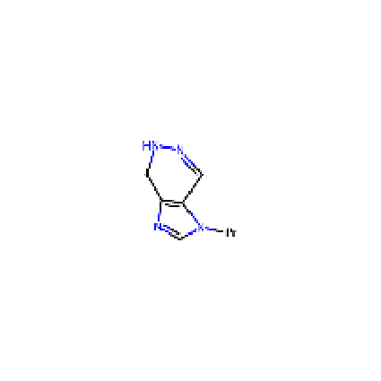 CC(C)n1cnc2c1C=NNC2